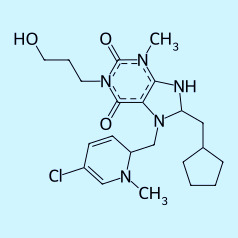 CN1C=C(Cl)C=CC1CN1c2c(n(C)c(=O)n(CCCO)c2=O)NC1CC1CCCC1